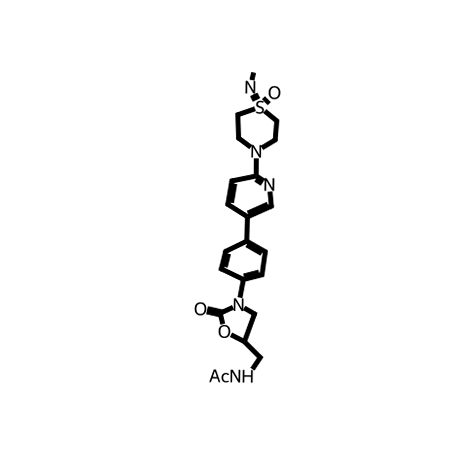 CN=S1(=O)CCN(c2ccc(-c3ccc(N4CC(CNC(C)=O)OC4=O)cc3)cn2)CC1